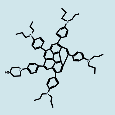 CCCN(CCC)c1ccc(-c2cc3c(-c4ccc(N(CCC)CCC)cc4)cc4c(-c5ccc(N6CCNCC6)cc5)cc5c(-c6ccc(N(CCC)CCC)cc6)cc6c(-c7ccc(N(CCC)CCC)cc7)cc2c2c6c5c4c32)cc1